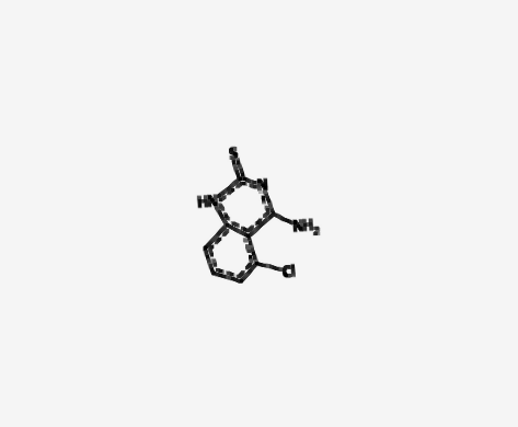 Nc1nc(=S)[nH]c2cccc(Cl)c12